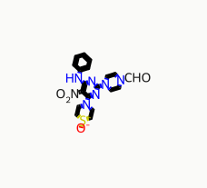 O=CN1CCN(c2nc(Nc3ccccc3)c([N+](=O)[O-])c(N3CC[S+]([O-])CC3)n2)CC1